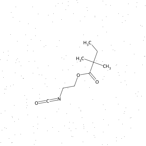 CCC(C)(C)C(=O)OCCN=C=O